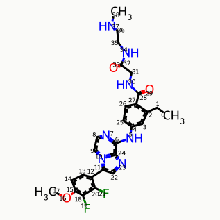 CCc1cc(Nc2nccn3c(-c4ccc(OC)c(F)c4F)cnc23)ccc1C(=O)NCC(=O)NCCNC